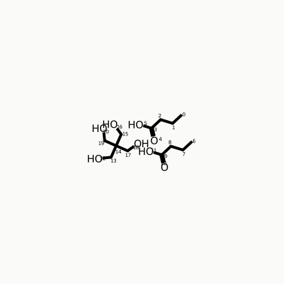 CCCC(=O)O.CCCC(=O)O.OCC(CO)(CO)CO